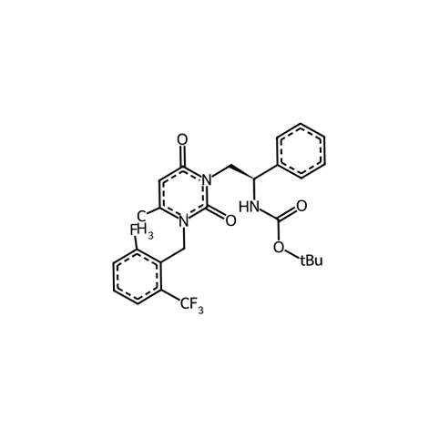 Cc1cc(=O)n(C[C@H](NC(=O)OC(C)(C)C)c2ccccc2)c(=O)n1Cc1c(F)cccc1C(F)(F)F